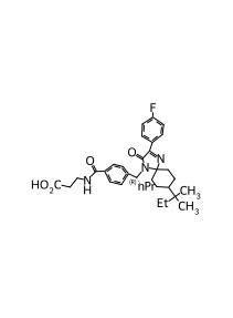 CCC[C@H](c1ccc(C(=O)NCCC(=O)O)cc1)N1C(=O)C(c2ccc(F)cc2)=NC12CCC(C(C)(C)CC)CC2